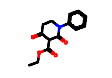 CCOC(=O)C1C(=O)CCN(c2ccccc2)C1=O